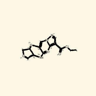 CCOC(=O)c1cnn2cc3c(nc12)NC1COCC1O3